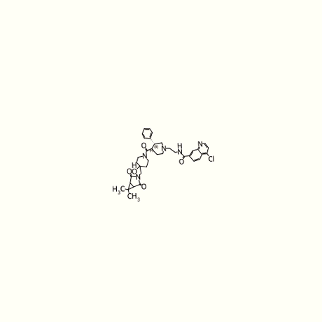 CC1(C)C2C(=O)N(CC3(O)CCN(C(=O)[C@@H]4CCN(CCNC(=O)c5ccc6c(Cl)ccnc6c5)C[C@H]4c4ccccc4)CC3)C(=O)C21